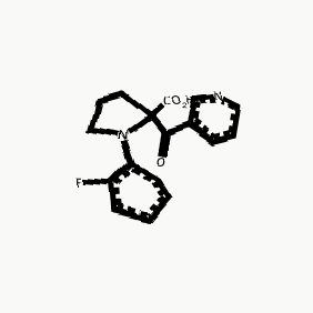 O=C(O)C1(C(=O)c2cccnc2)CCCN1c1ccccc1F